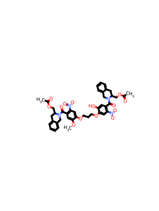 COc1cc(C(=O)N2Cc3ccccc3CC2COC(C)=O)c([N+](=O)[O-])cc1OCCCOc1cc([N+](=O)[O-])c(C(=O)N2Cc3ccccc3CC2COC(C)=O)cc1O